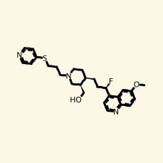 COc1ccc2nccc([C@H](F)CC[C@@H]3CCN(CCCSc4ccncc4)C[C@@H]3CO)c2c1